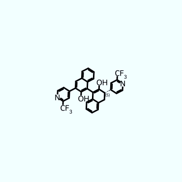 OC1=C(c2c(O)c(-c3ccnc(C(F)(F)F)c3)cc3ccccc23)c2ccccc2C[C@H]1c1ccnc(C(F)(F)F)c1